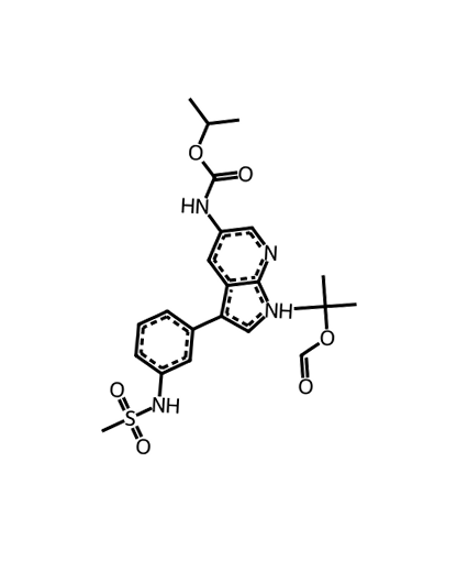 CC(C)(C)OC=O.CC(C)OC(=O)Nc1cnc2[nH]cc(-c3cccc(NS(C)(=O)=O)c3)c2c1